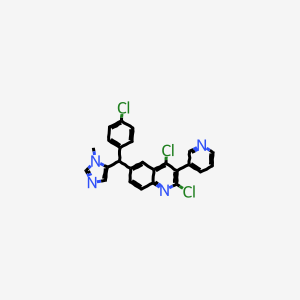 Cn1cncc1C(c1ccc(Cl)cc1)c1ccc2nc(Cl)c(-c3cccnc3)c(Cl)c2c1